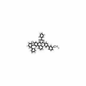 Cc1cccc(-c2ccc(-c3nc(-c4ccccc4)nc(-c4cc5oc6cccc(-c7ccccc7)c6c5cc4-c4ccccc4)n3)cc2)c1